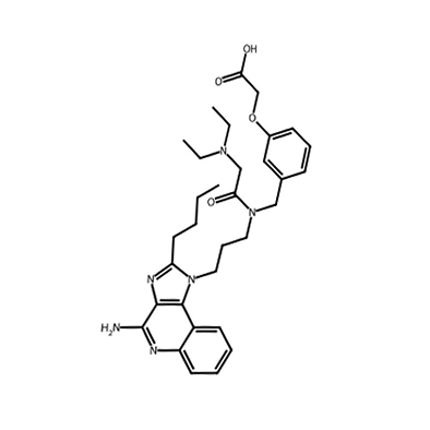 CCCCc1nc2c(N)nc3ccccc3c2n1CCCN(Cc1cccc(OCC(=O)O)c1)C(=O)CN(CC)CC